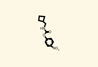 O=C(NCC1CCC1)Oc1ccc([N+](=O)[O-])cc1